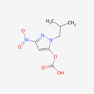 CC(C)Cn1nc([N+](=O)[O-])cc1OC(=O)O